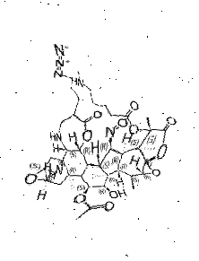 CNCCCCC(=O)O[C@]1(C)C(=O)O[C@@]23O[C@@H]2[C@@H](C)[C@H]2[C@@H]([C@H](N=O)[C@H]4C5C([C@H](OC(C)=O)[C@H](O)[C@]24C)[C@@]2(C)C[C@H]4O[C@H]4C[C@]2(N)[C@@H]2NCC(CCCN=[N+]=[N-])C(=O)O[C@H]52)[C@]31C